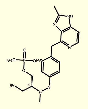 COP(=O)(OC)OC[C@H](CC(C)C)N(C)Sc1ccc(Cc2nccc3[nH]c(C)nc23)cc1